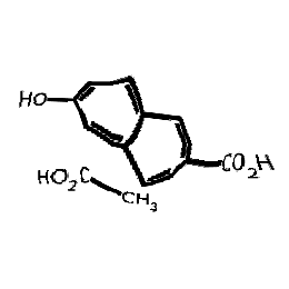 CC(=O)O.O=C(O)c1ccc2cc(O)ccc2c1